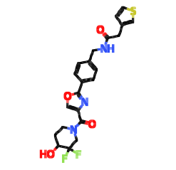 O=C(Cc1ccsc1)NCc1ccc(-c2nc(C(=O)N3CCC(O)C(F)(F)C3)co2)cc1